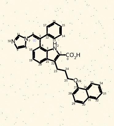 O=C(O)c1[nH]c2c(/C(=C\n3ccnc3)c3ccccc3)cccc2c1CCCOc1cccc2ccccc12